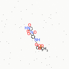 CC(OCCNc1ccc2c(c1)C(=O)N(C1CCC(=O)NC1=O)C2=O)OS(C)(=O)=O